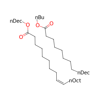 CCCCCCCC/C=C\CCCCCCCC(=O)OCCCCCCCCCC.CCCCCCCCCCCCCCCCCC(=O)OCCCC